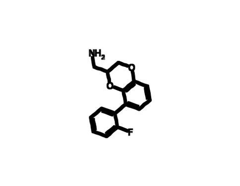 NCC1COc2cccc(-c3ccccc3F)c2O1